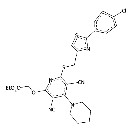 [C-]#[N+]c1c(OCC(=O)OCC)nc(SCc2csc(-c3ccc(Cl)cc3)n2)c(C#N)c1N1CCCCC1